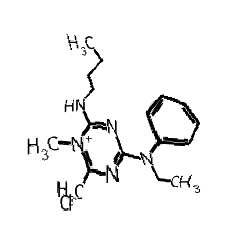 CCCCNc1nc(N(CC)c2ccccc2)nc(C)[n+]1C.[Cl-]